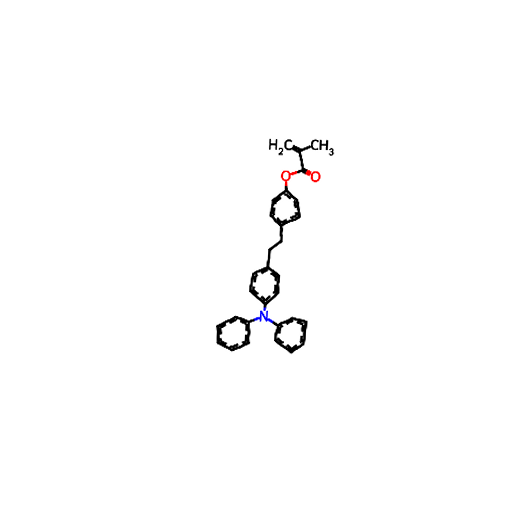 C=C(C)C(=O)Oc1ccc(CCc2ccc(N(c3ccccc3)c3ccccc3)cc2)cc1